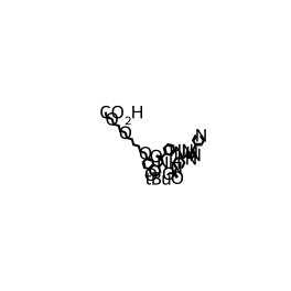 CC(C)(C)OC(=O)N1CCC(Nc2cccc(C(=O)NC3CCOc4ccc(OCCCCCOCCCOCC(=O)O)cc43)c2)(c2nnc(-c3ccncc3)[nH]2)CC1